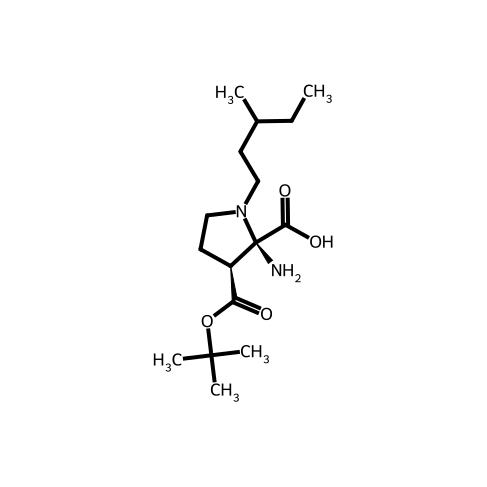 CCC(C)CCN1CC[C@H](C(=O)OC(C)(C)C)[C@@]1(N)C(=O)O